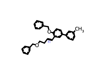 Cc1cccc(-c2ccc(OCc3ccccc3)c(/C=C/CCOCc3ccccc3)c2)c1